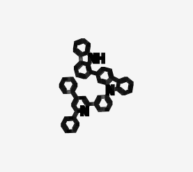 c1ccc(-c2cc(-c3ccccc3)nc(-c3cccc(-n4c5ccccc5c5ccc(-c6cccc7c6[nH]c6ccccc67)cc54)c3)c2)cc1